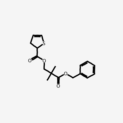 CC(C)(COC(=O)C1CC=CS1)C(=O)OCc1ccccc1